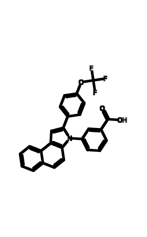 O=C(O)c1cccc(-n2c(-c3ccc(OC(F)(F)F)cc3)cc3c4ccccc4ccc32)c1